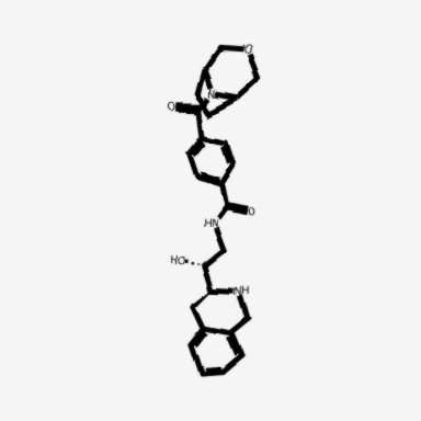 O=C(NC[C@@H](O)[C@@H]1Cc2ccccc2CN1)c1ccc(C(=O)N2C3CCC2COC3)cc1